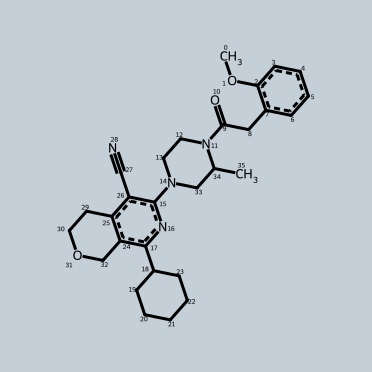 COc1ccccc1CC(=O)N1CCN(c2nc(C3CCCCC3)c3c(c2C#N)CCOC3)CC1C